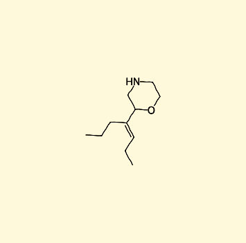 CCC=C(CCC)C1CNCCO1